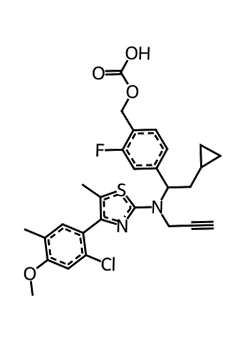 C#CCN(c1nc(-c2cc(C)c(OC)cc2Cl)c(C)s1)C(CC1CC1)c1ccc(COC(=O)O)c(F)c1